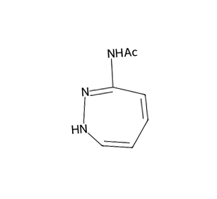 CC(=O)NC1=NNC=CC=C1